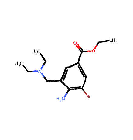 CCOC(=O)c1cc(Br)c(N)c(CN(CC)CC)c1